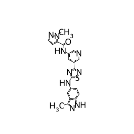 Cc1n[nH]c2ccc(Nc3nc(-c4cncc(NC(=O)c5ccnn5C)c4)ns3)cc12